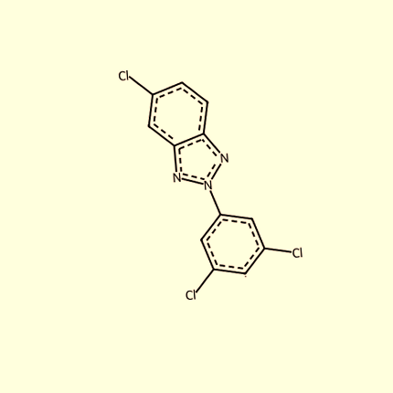 Clc1[c]c(Cl)cc(-n2nc3ccc(Cl)cc3n2)c1